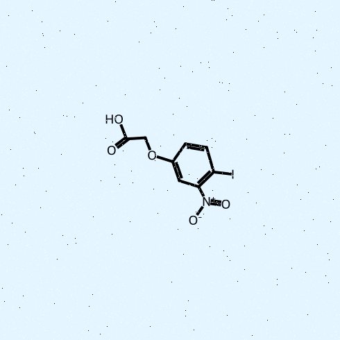 O=C(O)COc1ccc(I)c([N+](=O)[O-])c1